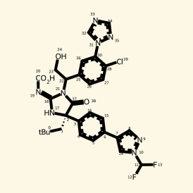 CC(C)(C)C[C@]1(c2ccc(-c3cnn(C(F)F)c3)cc2)NC(=NC(=O)O)N(C(CO)c2ccc(Cl)c(-n3cncn3)c2)C1=O